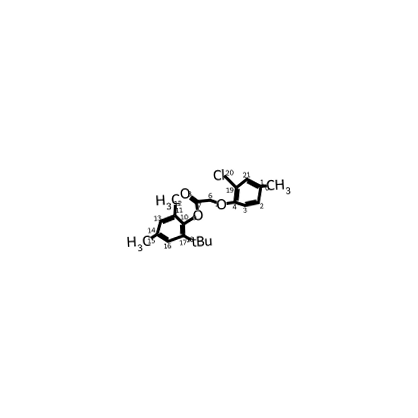 Cc1ccc(OCC(=O)Oc2c(C)cc(C)cc2C(C)(C)C)c(Cl)c1